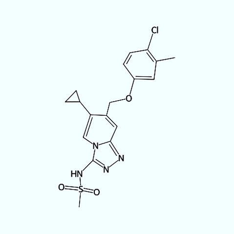 Cc1cc(OCc2cc3nnc(NS(C)(=O)=O)n3cc2C2CC2)ccc1Cl